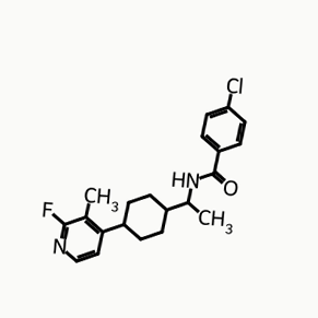 Cc1c(C2CCC(C(C)NC(=O)c3ccc(Cl)cc3)CC2)ccnc1F